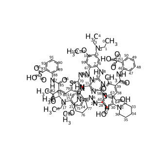 CCN(CC)c1cc(Nc2nc(Nc3cc(N(CC)CC)c(OC)cc3/N=N/c3nc(N4CCCCC4)c(/C=C(\C(C)=O)C(=O)Nc4ccccc4S(=O)(=O)O)s3)nc(N(CCO)CCO)n2)c(/N=N/c2nc(N3CCCCC3)c(/C=C(/C(C)=O)C(=O)Nc3ccccc3S(=O)(=O)O)s2)cc1OC